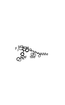 CNC(=O)/C=C/CN(CCOc1ccc(/C(=C(/CC(F)(F)F)B(O)O)c2ccc3c(c2)c(F)nn3C2CCCCO2)cn1)C(=O)OC(C)(C)C